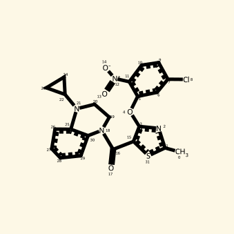 Cc1nc(Oc2cc(Cl)ccc2[N+](=O)[O-])c(C(=O)N2CCN(C3CC3)c3ccccc32)s1